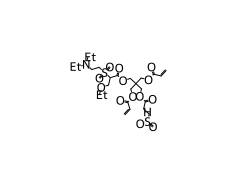 C=CC(=O)OCC(COC(=O)C=C)(COC(=O)CC[SH](=O)=O)COC(=O)C(COCC)S(=O)(=O)CCN(CC)CC